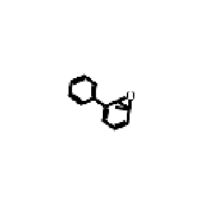 CC12C=CC=C(c3ccccc3)C1O2